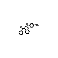 CC(C)(C)c1ccc(S(=O)(=O)CC(C(=O)c2ccccc2)c2ccccc2)cc1